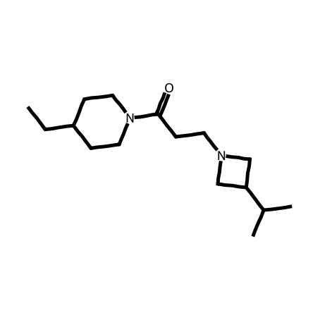 CCC1CCN(C(=O)CCN2CC(C(C)C)C2)CC1